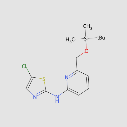 CC(C)(C)[Si](C)(C)OCc1cccc(Nc2ncc(Cl)s2)n1